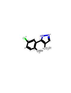 CCOC(=O)c1cn[nH]c1-c1cc(Cl)ccc1OC